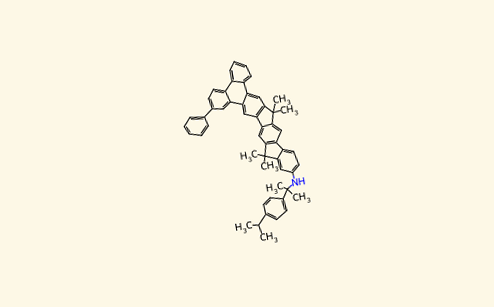 CC(C)c1ccc(C(C)(C)Nc2ccc3c(c2)C(C)(C)c2cc4c(cc2-3)C(C)(C)c2cc3c5ccccc5c5ccc(-c6ccccc6)cc5c3cc2-4)cc1